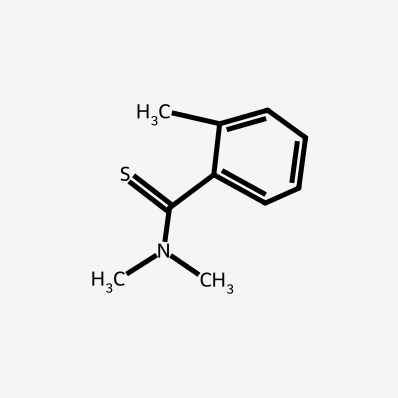 Cc1ccccc1C(=S)N(C)C